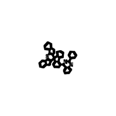 c1ccc(-c2nc(-c3cccc4c3-c3ccccc3C43c4ccc5ccccc5c4Sc4c3ccc3ccccc43)c3ccccc3n2)cc1